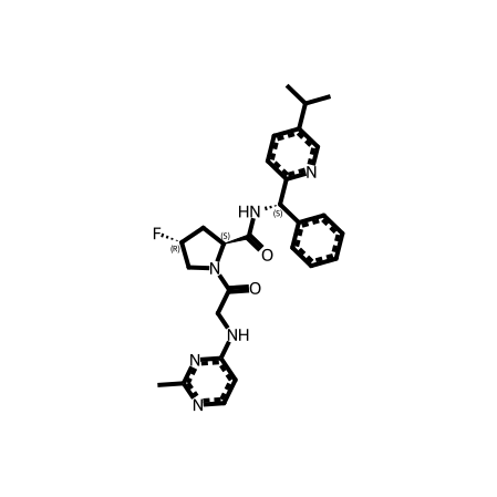 Cc1nccc(NCC(=O)N2C[C@H](F)C[C@H]2C(=O)N[C@@H](c2ccccc2)c2ccc(C(C)C)cn2)n1